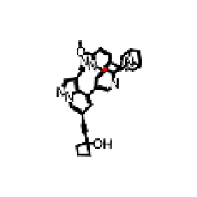 COc1ccc(CN2C3CC2CN(c2ccc(-c4cc(C#CC5(O)CCC5)cn5ncc(C#N)c45)cn2)C3)cn1